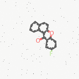 O=c1c2cc(F)ccc2oc2ccc3ccccc3c12